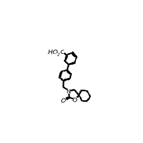 O=C(O)c1cccc(-c2ccc(CN3CC4(CCCCC4)OC3=O)cc2)c1